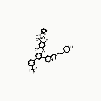 O=S(=O)(Nc1cscn1)c1cc(Cl)c(Oc2ccc(-c3cccc(C(F)(F)F)c3)cc2-c2ccnc(CNCCC3CCNCC3)c2)cc1F